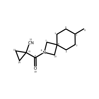 CC1CCC2(CC1)CN(C(=O)C1(C#N)CC1)C2